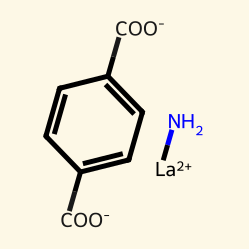 O=C([O-])c1ccc(C(=O)[O-])cc1.[NH2][La+2]